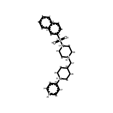 O=S(=O)(c1ccc2ccccc2c1)N1CCN(CC2CCN(c3ccncc3)CC2)CC1